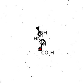 O=C(O)C12CC(C1)N(c1nccc(Nc3cc(C4CC4)[nH]n3)n1)C2